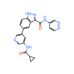 O=C(Nc1ccnnc1)c1n[nH]c2ccc(-c3cncc(NC(=O)C4CC4)c3)cc12